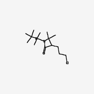 CC1(C)C(CCCCl)C(=O)N1[Si](C)(C)C(C)(C)C